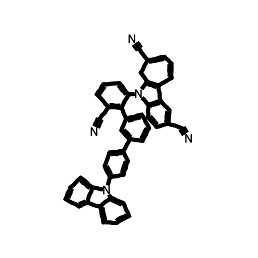 N#CC1=CC=Cc2c(n(-c3cccc(C#N)c3-c3cccc(-c4ccc(-n5c6ccccc6c6ccccc65)cc4)c3)c3ccc(C#N)cc23)C1